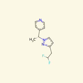 C[C@H](c1ccncc1)n1ccc(CC(F)F)n1